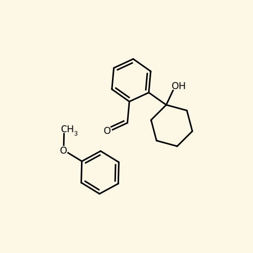 COc1ccccc1.O=Cc1ccccc1C1(O)CCCCC1